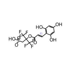 O=C(/C=C/c1c(O)cc(O)cc1O)OC(CS(=O)(=O)O)(C(F)(F)F)C(F)(F)F